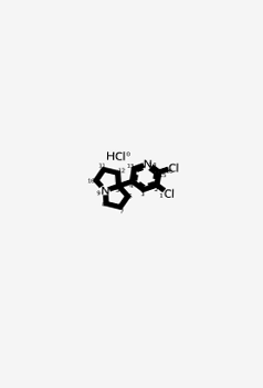 Cl.Clc1cc(C23CCCN2CCC3)cnc1Cl